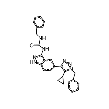 O=C(NCc1ccccc1)Nc1n[nH]c2ccc(-c3nnn(Cc4ccccc4)c3C3CC3)cc12